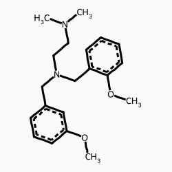 COc1cccc(CN(CCN(C)C)Cc2ccccc2OC)c1